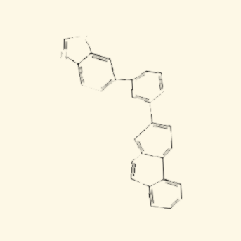 c1cc(-c2ccc3c(ccc4ccccc43)c2)cc(-c2ccc3ncoc3c2)c1